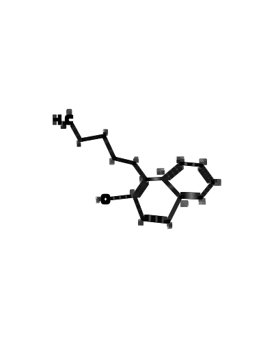 CCCCCc1c([O])ccc2ccccc12